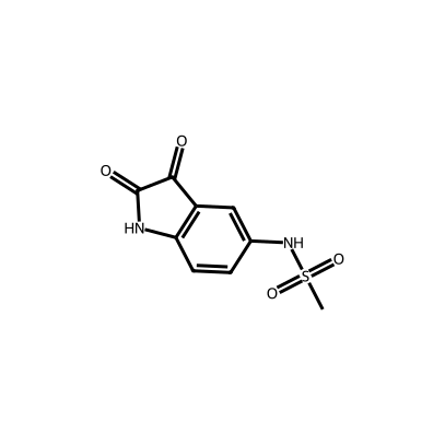 CS(=O)(=O)Nc1ccc2c(c1)C(=O)C(=O)N2